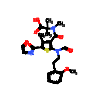 COc1ccccc1CCN(C=O)c1sc(-c2ncco2)c(C)c1C(=O)N(C)C(C)(C)C(=O)O